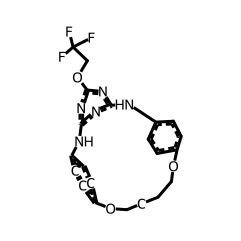 FC(F)(F)COc1nc2nc(n1)Nc1ccc(cc1)OCCCCOc1ccc(cc1)N2